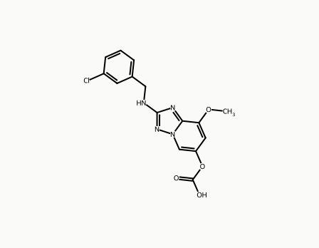 COc1cc(OC(=O)O)cn2nc(NCc3cccc(Cl)c3)nc12